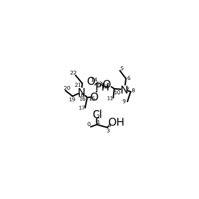 CC(Cl)CO.CCN(CC)C(C)O[PH](=O)OC(C)N(CC)CC